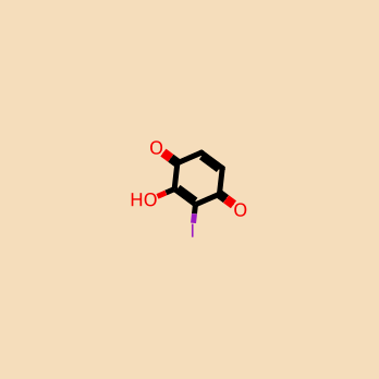 O=C1C=CC(=O)C(I)=C1O